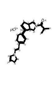 CC(C)C(=O)N1CC2CC=C(c3ccc(CCN4CCCC4)cc3)C2C1.Cl